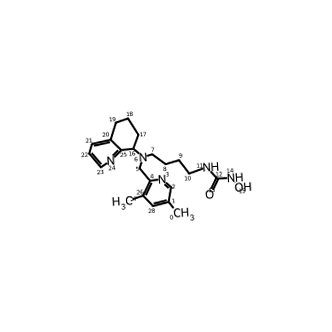 Cc1cnc(CN(CCCCNC(=O)NO)C2CCCc3cccnc32)c(C)c1